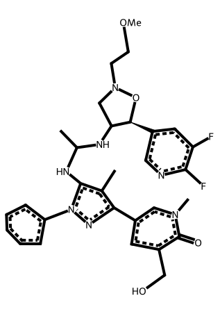 COCCN1CC(NC(C)Nc2c(C)c(-c3cc(CO)c(=O)n(C)c3)nn2-c2ccccc2)[C@H](c2cnc(F)c(F)c2)O1